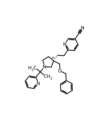 CC(C)(c1ccccn1)N1CC[C@@](CCc2ccc(C#N)cn2)(COCc2ccccc2)C1